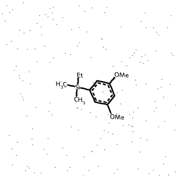 CC[Si](C)(C)c1cc(OC)cc(OC)c1